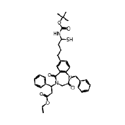 CCOC(=O)CC(c1ccccc1)N1CC(=O)N(Cc2ccccc2)c2ccc(CCCC(S)NC(=O)OC(C)(C)C)cc2C1=O